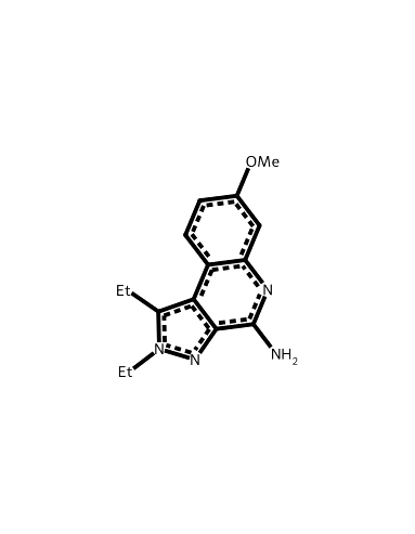 CCc1c2c(nn1CC)c(N)nc1cc(OC)ccc12